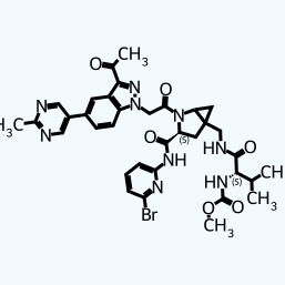 COC(=O)N[C@H](C(=O)NCC12CC1N(C(=O)Cn1nc(C(C)=O)c3cc(-c4cnc(C)nc4)ccc31)[C@H](C(=O)Nc1cccc(Br)n1)C2)C(C)C